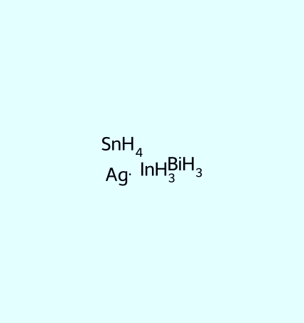 [Ag].[BiH3].[InH3].[SnH4]